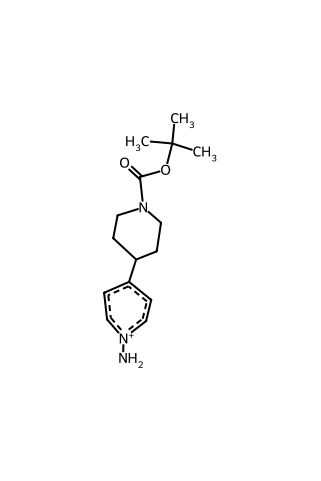 CC(C)(C)OC(=O)N1CCC(c2cc[n+](N)cc2)CC1